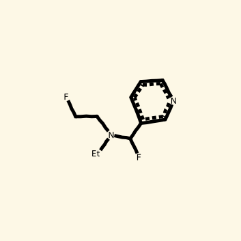 CCN(CCF)C(F)c1cccnc1